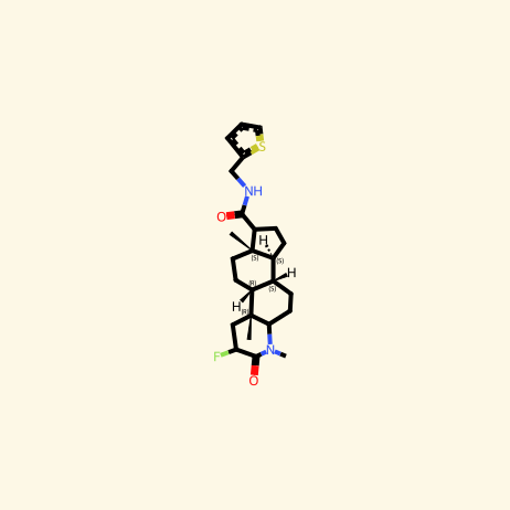 CN1C(=O)C(F)C[C@@]2(C)C1CC[C@@H]1[C@H]2CC[C@]2(C)C(C(=O)NCc3cccs3)CC[C@@H]12